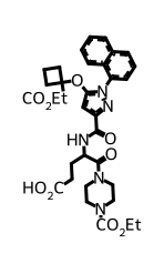 CCOC(=O)N1CCN(C(=O)C(CCC(=O)O)NC(=O)c2cc(OC3(C(=O)OCC)CCC3)n(-c3cccc4ccccc34)n2)CC1